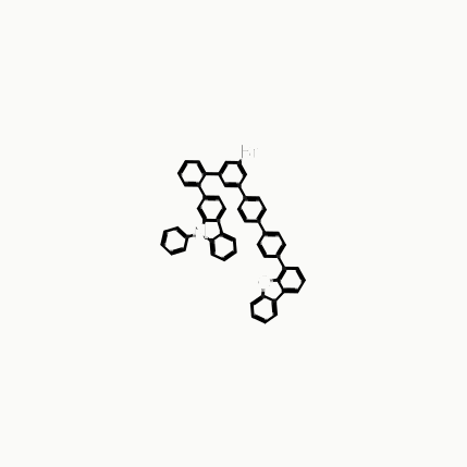 Brc1cc(-c2ccc(-c3ccc(-c4cccc5c4oc4ccccc45)cc3)cc2)cc(-c2ccccc2-c2ccc3c4ccccc4n(-c4ccccc4)c3c2)c1